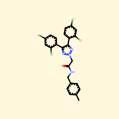 Cc1ccc(CNC(=O)Cn2nc(-c3ccc(Cl)cc3Cl)c(-c3ccc(Cl)cc3Cl)n2)cc1